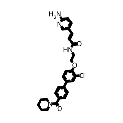 Nc1ccc(C=CC(=O)NCCOc2ccc(-c3ccc(C(=O)N4CCCCC4)cc3)cc2Cl)cn1